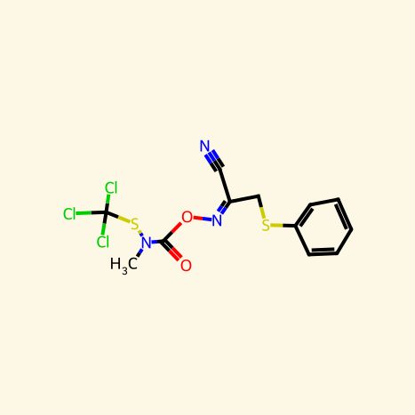 CN(SC(Cl)(Cl)Cl)C(=O)ON=C(C#N)CSc1ccccc1